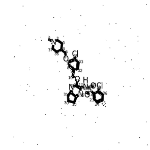 CN1CCC(COc2cc(COc3nc4c(nc3NS(=O)(=O)c3ccccc3Cl)CCC4)ccc2Cl)CC1